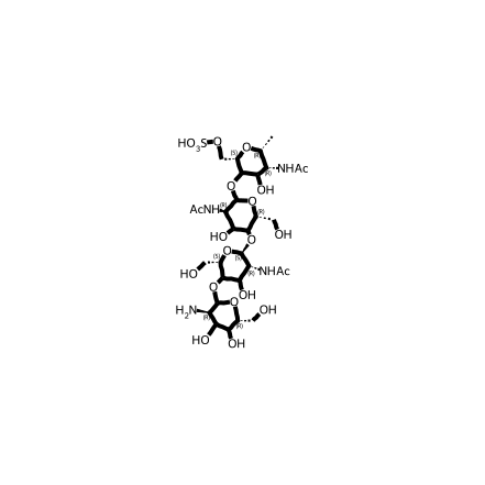 CC(=O)N[C@H]1C(OC2C(O)[C@@H](NC(C)=O)[C@@H](C)O[C@H]2COS(=O)(=O)O)O[C@H](CO)C(O[C@@H]2O[C@@H](CO)C(OC3O[C@H](CO)C(O)C(O)[C@H]3N)C(O)[C@H]2NC(C)=O)C1O